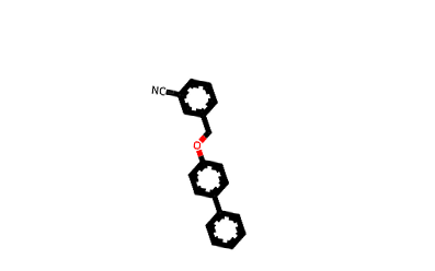 N#Cc1cccc(COc2ccc(-c3ccccc3)cc2)c1